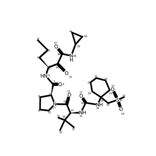 CCC[C@H](NC(=O)[C@@H]1CCCN1C(=O)[C@@H](NC(=O)NC1(CS(C)(=O)=O)CCCCC1)C(C)(C)C)C(=O)C(=O)NC1CC1